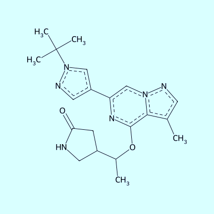 Cc1cnn2cc(-c3cnn(C(C)(C)C)c3)nc(OC(C)C3CNC(=O)C3)c12